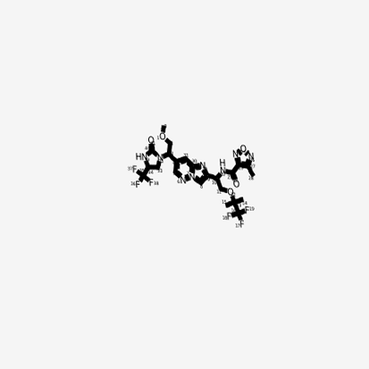 COCC(c1cnn2cc(C(COC(C)(C)C(F)(F)F)NC(=O)c3nonc3C)nc2c1)N1CC(C(F)(F)F)NC1=O